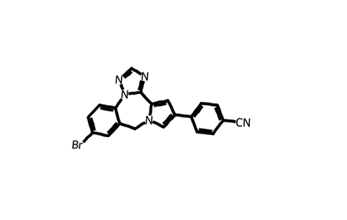 N#Cc1ccc(-c2cc3n(c2)Cc2cc(Br)ccc2-n2ncnc2-3)cc1